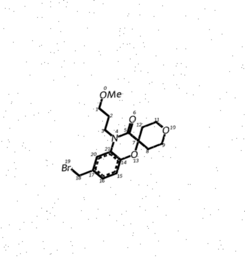 COCCCN1C(=O)C2(CCOCC2)Oc2ccc(CBr)cc21